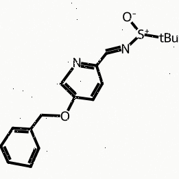 CC(C)(C)[S+]([O-])N=Cc1ccc(OCc2ccccc2)cn1